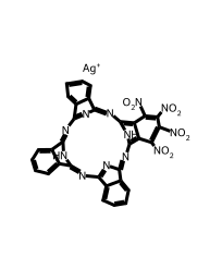 O=[N+]([O-])c1c([N+](=O)[O-])c([N+](=O)[O-])c2c3nc4nc(nc5[nH]c(nc6nc(nc([nH]3)c2c1[N+](=O)[O-])-c1ccccc1-6)c1ccccc51)-c1ccccc1-4.[Ag+]